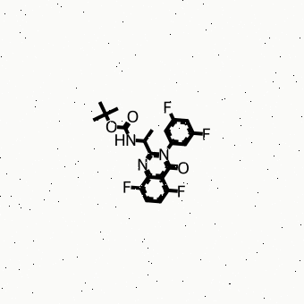 CC(NC(=O)OC(C)(C)C)c1nc2c(F)ccc(F)c2c(=O)n1-c1cc(F)cc(F)c1